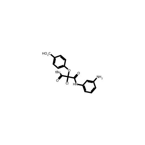 CC(C)(C)C(=O)C(Cl)(Oc1ccc(C(=O)O)cc1)C(=O)Nc1cccc(N)c1